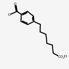 CCOC(=O)CCCCCCc1ccc(C(=O)Cl)cc1